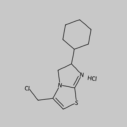 Cl.ClCC1=CSC2=NC(C3CCCCC3)CN12